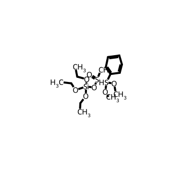 CCO[Si](OCC)(OCC)OS(C)(=O)=[SH](OC)(OC)c1ccccc1